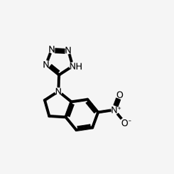 O=[N+]([O-])c1ccc2c(c1)N(c1nnn[nH]1)CC2